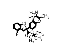 CC1=C(N)Nc2cc(C(N)(Cc3c(F)cccc3Cl)C(=O)OC(C)(C)C)ccc2O1